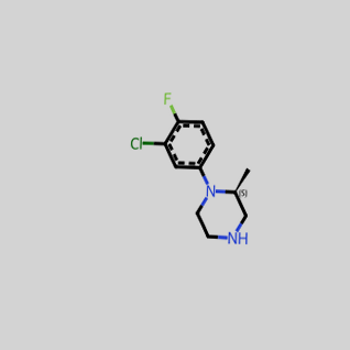 C[C@H]1CNCCN1c1ccc(F)c(Cl)c1